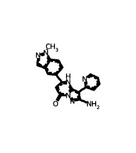 Cn1ncc2cc(-c3cc(=O)n4nc(N)c(-c5ccccn5)c4[nH]3)ccc21